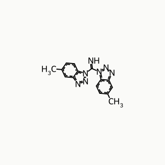 Cc1ccc2c(c1)nnn2C(=N)n1nnc2cc(C)ccc21